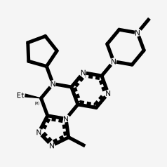 CC[C@@H]1c2nnc(C)n2-c2cnc(N3CCN(C)CC3)nc2N1C1CCCC1